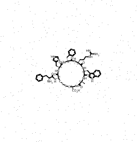 C[C@@H]1NC(=O)[C@H](Cc2c[nH]c3ccccc23)NC(=O)[C@H](CCCNC(=N)N)NC(=O)[C@@H](Cc2ccccc2)NC(=O)[C@H](Cc2c[nH]cn2)NC(=O)[C@@H](NC(=O)[C@H](N)Cc2ccccc2)CSSC[C@H](C(=O)O)NC1=O